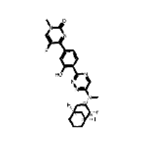 CN(c1cnc(-c2ccc(-c3nc(=O)n(C)cc3F)cc2O)nn1)[C@H]1C[C@@H]2CCC[C@@H](C2)[C@H]1F